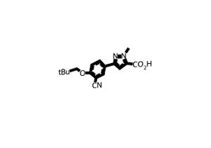 Cn1nc(-c2ccc(OCC(C)(C)C)c(C#N)c2)cc1C(=O)O